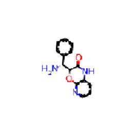 N[C@H](c1ccccc1)[C@H]1Oc2ncccc2NC1=O